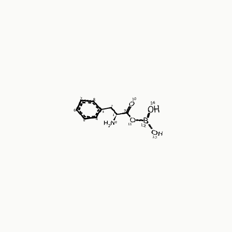 N[C@@H](Cc1ccccc1)C(=O)OB(O)O